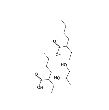 CC(O)CO.CCCCC(CC)C(=O)O.CCCCC(CC)C(=O)O